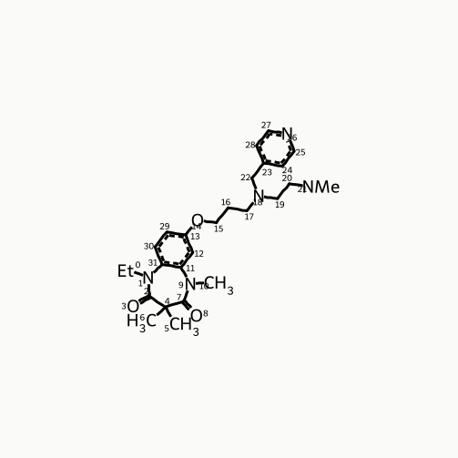 CCN1C(=O)C(C)(C)C(=O)N(C)c2cc(OCCCN(CCNC)Cc3ccncc3)ccc21